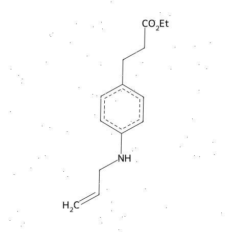 C=CCNc1ccc(CCC(=O)OCC)cc1